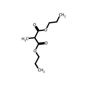 CCCOC(=O)C(C)C(=O)OCCC